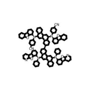 N#Cc1ccc(N(c2cc3c4cc(-c5ccc6c(N(c7ccccc7)c7cccc8c7oc7ncccc78)cc7c8ccccc8c(N(c8ccccc8)c8cccc9c8oc8ncccc89)cc7c6c5)ccc4c(N(c4ccc(C#N)cc4)c4cccc5c4oc4ccccc45)cc3c3ccccc23)c2cccc3c2oc2ccccc23)cc1